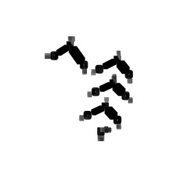 O=N[O-].O=N[O-].O=N[O-].O=N[O-].[U+4]